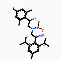 Cc1cc(C)c(C(N)C[N](CC(N)c2c(C(C)C)cc(C)cc2C(C)C)[Co]([Br])[Br])c(C)c1